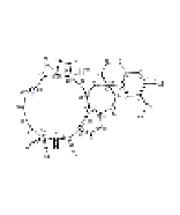 COc1cc2c(cc1Cl)CCC[C@]21COc2ccc3cc2N(C[C@@H]2CC[C@@H]2C/C=C/CCCS(=O)(=O)NC3=O)C1